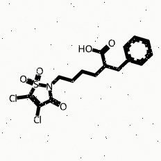 O=C(O)C(CCCCN1C(=O)C(Cl)=C(Cl)S1(=O)=O)Cc1ccccc1